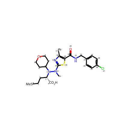 CSCC[C@@H](C(=O)O)N(C1CCOCC1)N(C)c1nc(C(C)C)c(C(=O)NCc2ccc(Cl)cc2)s1